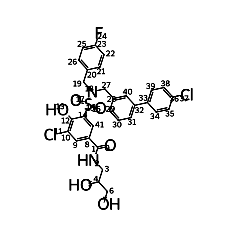 O=C(NCC(O)CO)c1cc(Cl)c(O)c(S(=O)(=O)N(Cc2ccc(F)cc2)Cc2cccc(-c3ccc(Cl)cc3)c2)c1